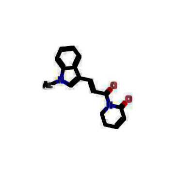 CC(=O)n1cc(C=CC(=O)N2CCC=CC2=O)c2ccccc21